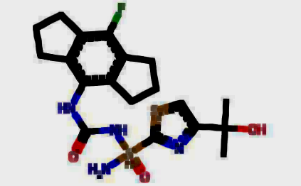 CC(C)(O)c1csc([SH](N)(=O)NC(=O)Nc2c3c(c(F)c4c2CCC4)CCC3)n1